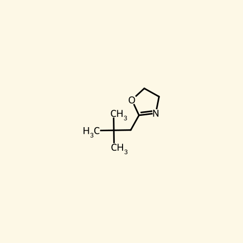 CC(C)(C)CC1=NCCO1